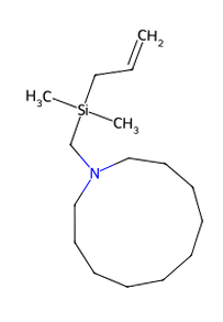 C=CC[Si](C)(C)CN1CCCCCCCCCC1